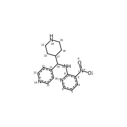 O=[N+]([O-])c1cccnc1NC(c1ccncc1)C1CCNCC1